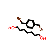 BrCc1ccc(CBr)cc1.OCCCCCCCO